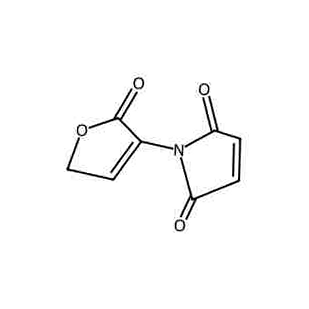 O=C1OCC=C1N1C(=O)C=CC1=O